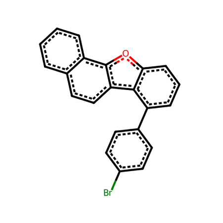 Brc1ccc(-c2cccc3oc4c5ccccc5ccc4c23)cc1